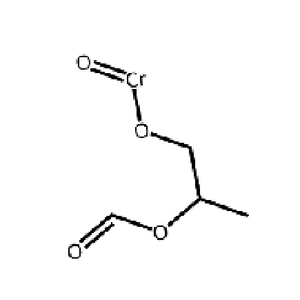 CC(C[O][Cr]=[O])OC=O